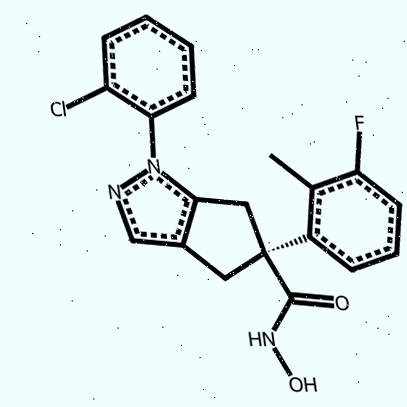 Cc1c(F)cccc1[C@]1(C(=O)NO)Cc2cnn(-c3ccccc3Cl)c2C1